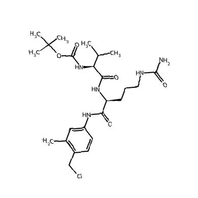 [CH2]c1cc(NC(=O)[C@H](CCCNC(N)=O)NC(=O)[C@@H](NC(=O)OC(C)(C)C)C(C)C)ccc1CCl